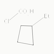 CCC1CCC1.O=C(O)Cl